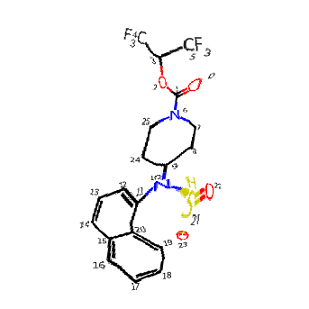 O=C(OC(C(F)(F)F)C(F)(F)F)N1CCC(N(c2cccc3ccccc23)[SH](=O)=O)CC1